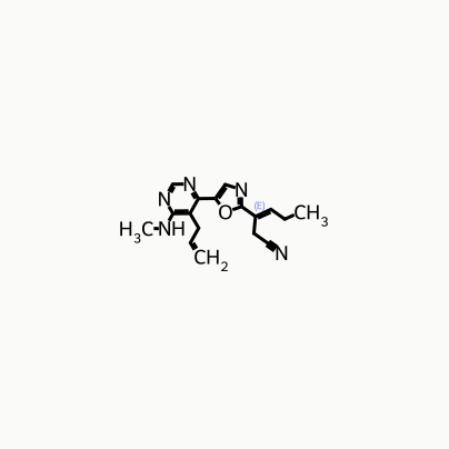 C=CCc1c(NC)ncnc1-c1cnc(/C(=C/CC)CC#N)o1